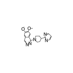 COc1cc2cnnc(N3CCC(c4ncccn4)CC3)c2cc1OC